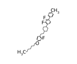 CCCCCCCOc1ccc(CCC2CCC(c3ccc(-c4ccc(C)cc4)c(F)c3F)CC2)c(F)c1